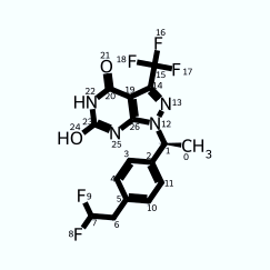 C[C@@H](c1ccc(CC(F)F)cc1)n1nc(C(F)(F)F)c2c(=O)[nH]c(O)nc21